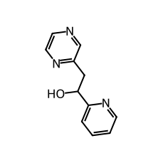 OC(Cc1cnccn1)c1ccccn1